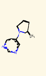 CC1CCCN1c1cncnc1